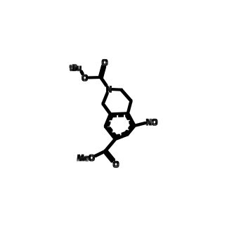 COC(=O)c1cc2c(c(N=O)c1)CCN(C(=O)OC(C)(C)C)C2